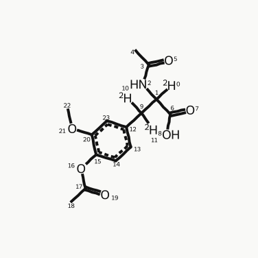 [2H]C(NC(C)=O)(C(=O)O)C([2H])([2H])c1ccc(OC(C)=O)c(OC)c1